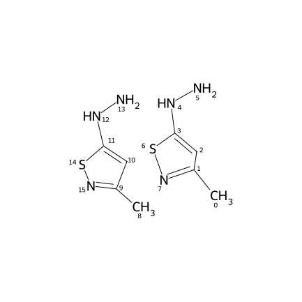 Cc1cc(NN)sn1.Cc1cc(NN)sn1